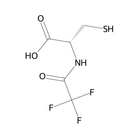 O=C(O)[C@H](CS)NC(=O)C(F)(F)F